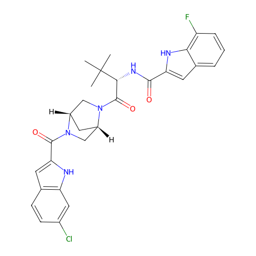 CC(C)(C)[C@H](NC(=O)c1cc2cccc(F)c2[nH]1)C(=O)N1C[C@@H]2C[C@H]1CN2C(=O)c1cc2ccc(Cl)cc2[nH]1